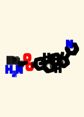 CC[C@H](C)[C@H](N)C(=O)O[C@H]1CC[C@@]2(C)C(=CC[C@@H]3[C@@H]2CC[C@]2(C)C(c4cccnc4)=CC[C@@H]32)C1